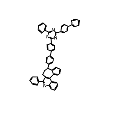 c1ccc(-c2ccc(-c3nc(-c4ccccc4)nc(-c4ccc(-c5ccc(C6CCc7c(-c8ccccc8)nc8ccccc8c7-c7ccccc76)cc5)cc4)n3)cc2)cc1